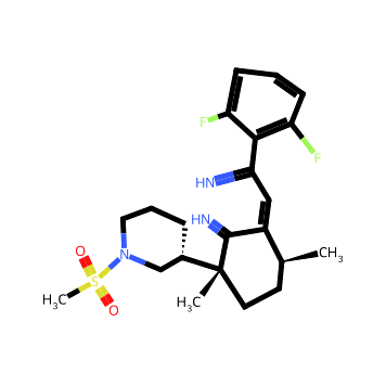 C[C@H]1CC[C@](C)([C@H]2CCCN(S(C)(=O)=O)C2)C(=N)/C1=C\C(=N)c1c(F)cccc1F